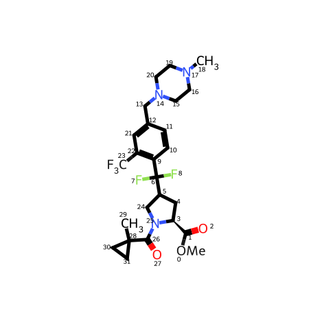 COC(=O)[C@@H]1CC(C(F)(F)c2ccc(CN3CCN(C)CC3)cc2C(F)(F)F)CN1C(=O)C1(C)CC1